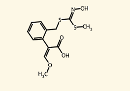 COC=C(C(=O)O)c1ccccc1CSC(=NO)SC